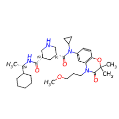 COCCCN1C(=O)C(C)(C)Oc2ccc(N(C(=O)[C@H]3CNC[C@@H](C(=O)N[C@@H](C)C4CCCCC4)C3)C3CC3)cc21